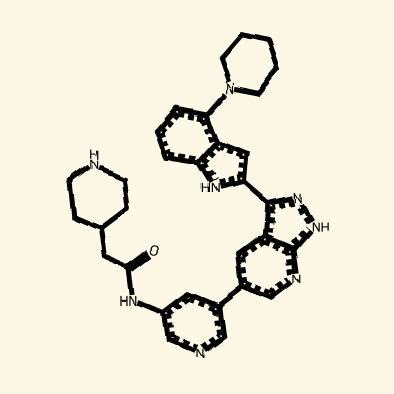 O=C(CC1CCNCC1)Nc1cncc(-c2cnc3[nH]nc(-c4cc5c(N6CCCCC6)cccc5[nH]4)c3c2)c1